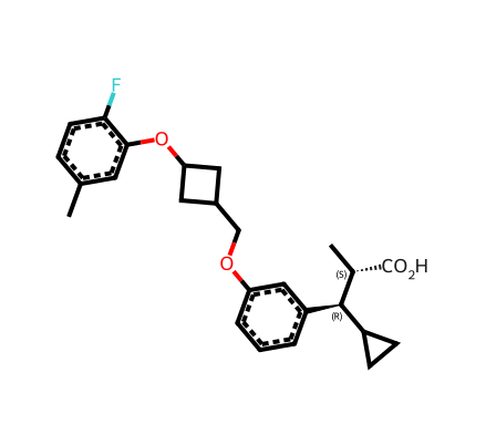 Cc1ccc(F)c(OC2CC(COc3cccc([C@H](C4CC4)[C@H](C)C(=O)O)c3)C2)c1